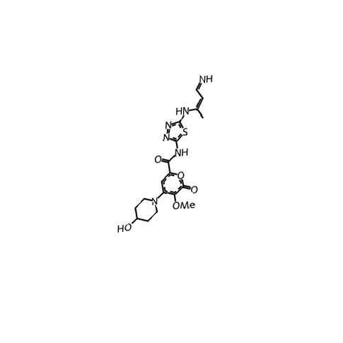 COc1c(N2CCC(O)CC2)cc(C(=O)Nc2nnc(N/C(C)=C\C=N)s2)oc1=O